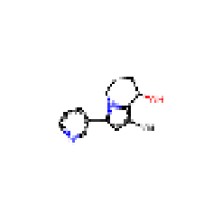 N#Cc1cc(-c2cccnc2)n2c1C(O)CCC2